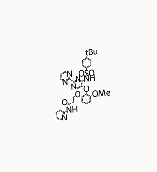 COc1ccccc1Oc1c(NS(=O)(=O)c2ccc(C(C)(C)C)cc2)nc(-c2ncccn2)nc1OCCC(=O)Nc1ccccn1